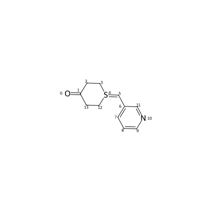 O=C1CCS(=Cc2cccnc2)CC1